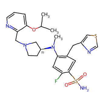 CC(C)Oc1cccnc1CN1CC[C@H](N(C)c2cc(F)c(S(N)(=O)=O)cc2Cc2cscn2)C1